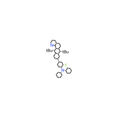 CC(C)(C)c1c2cc(-c3ccc(N(c4ccccc4)c4ccccc4F)cc3)ccc2c(C(C)(C)C)c2c1ccc1cccnc12